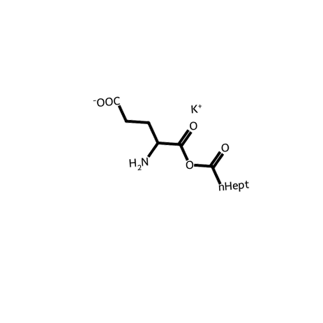 CCCCCCCC(=O)OC(=O)C(N)CCC(=O)[O-].[K+]